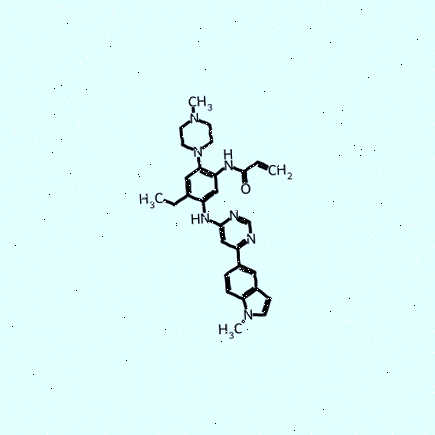 C=CC(=O)Nc1cc(Nc2cc(-c3ccc4c(ccn4C)c3)ncn2)c(CC)cc1N1CCN(C)CC1